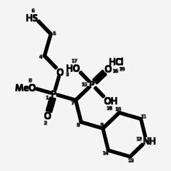 COP(=O)(OCCS)C(CC1CCNCC1)P(=O)(O)O.Cl